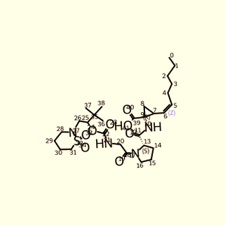 CCCCC/C=C\C1C[C@]1(NC(=O)[C@@H]1CCCN1C(=O)CNC(=O)OC(CN1CCCCS1(=O)=O)C(C)(C)C)C(=O)O